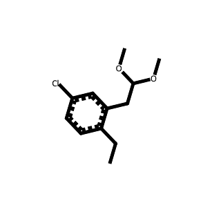 CCc1ccc(Cl)cc1CC(OC)OC